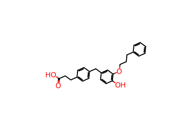 O=C(O)CCc1ccc(Cc2ccc(O)c(OCCCc3ccccc3)c2)cc1